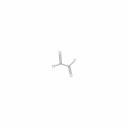 O=C(F)C(=O)Cl